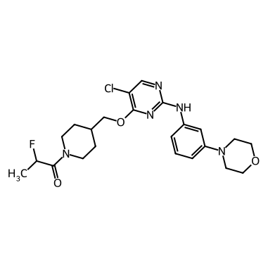 CC(F)C(=O)N1CCC(COc2nc(Nc3cccc(N4CCOCC4)c3)ncc2Cl)CC1